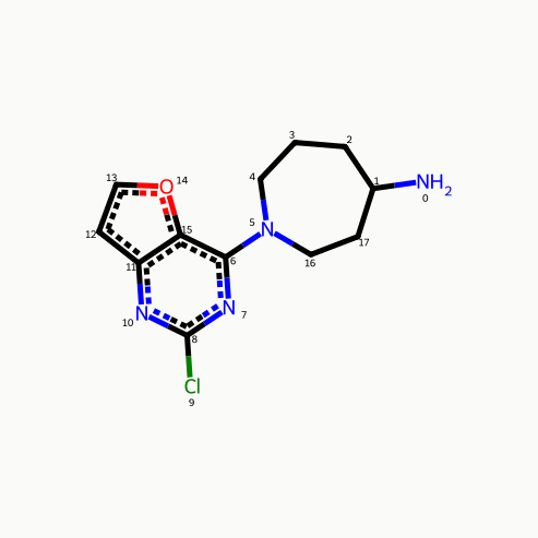 NC1CCCN(c2nc(Cl)nc3ccoc23)CC1